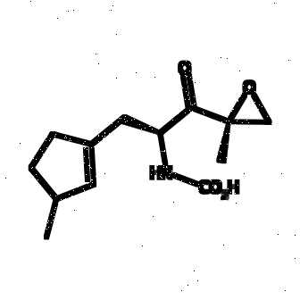 CC1C=C(C[C@H](NC(=O)O)C(=O)[C@@]2(C)CO2)CC1